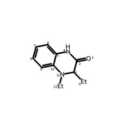 CCC1C(=O)Nc2ccccc2N1CC